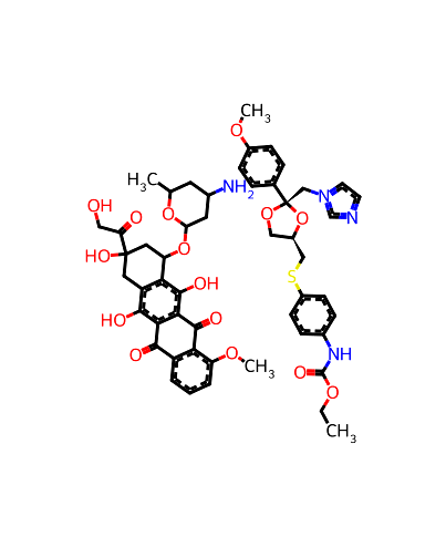 CCOC(=O)Nc1ccc(SC[C@H]2CO[C@](Cn3ccnc3)(c3ccc(OC)cc3)O2)cc1.COc1cccc2c1C(=O)c1c(O)c3c(c(O)c1C2=O)CC(O)(C(=O)CO)CC3OC1CC(N)CC(C)O1